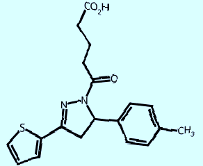 Cc1ccc(C2CC(c3cccs3)=NN2C(=O)CCCC(=O)O)cc1